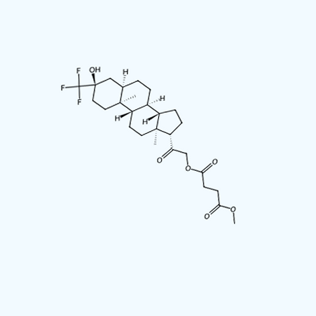 COC(=O)CCC(=O)OCC(=O)[C@H]1CC[C@H]2[C@@H]3CC[C@@H]4C[C@@](O)(C(F)(F)F)CC[C@]4(C)[C@H]3CC[C@]12C